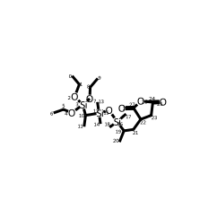 CCO[Si](OCC)(OCC)C(C)[Si](C)(C)O[Si](C)(C)C(C)CC1CC(=O)OC1=O